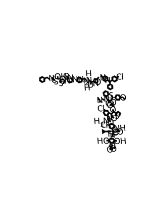 CN1CCN(C(c2ccccc2)c2ccc(Cl)cc2)CC1.COS(C)(=O)=O.COc1ccc([C@@H]2Sc3ccccc3N(CCN(C)C)C(=O)[C@@H]2OC(C)=O)cc1.Cc1cc(C(=O)NNCc2ccccc2)no1.NC(=O)N1C(=O)C(C(=O)c2cccs2)c2cc(Cl)ccc21.Nc1ccn([C@H]2CS[C@@H](CO)O2)c(=O)n1.O=C1Nc2ccc(Cl)cc2[C@@](C#CC2CC2)(C(F)(F)F)O1.Oc1ccc(O)cc1.S=C=NCCc1ccccc1